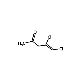 CC(=O)CC(Cl)=CCl